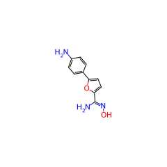 NC(=NO)c1ccc(-c2ccc(N)cc2)o1